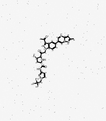 CC(=O)c1nn(CC(=O)C2N[C@H](C(=O)Nc3ccn(CC(F)(F)F)n3)C[C@H]2F)c2ccc(-c3cnc4cc(C)nn4c3)cc12